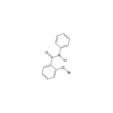 O=C(c1ccccc1OBr)N(Cl)c1ccccc1